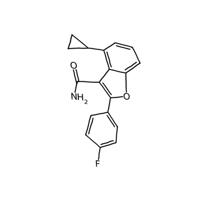 NC(=O)c1c(-c2ccc(F)cc2)oc2cccc(C3CC3)c12